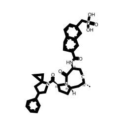 C[C@H]1CC[C@H](NC(=O)c2ccc3ccc(CP(=O)(O)O)cc3c2)C(=O)N2[C@H](CC[C@H]2C(=O)N2CC(c3ccccc3)CC23CC3)C1